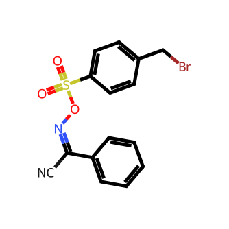 N#CC(=NOS(=O)(=O)c1ccc(CBr)cc1)c1ccccc1